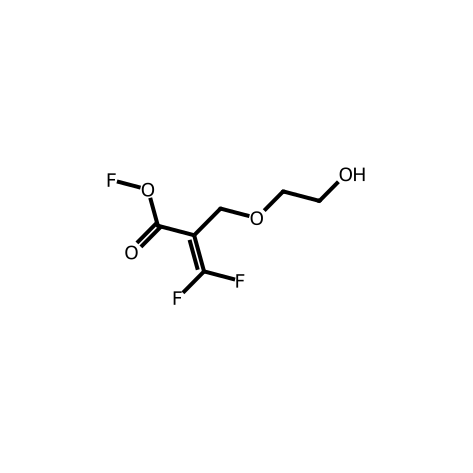 O=C(OF)C(COCCO)=C(F)F